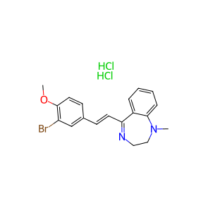 COc1ccc(C=CC2=NCCN(C)c3ccccc32)cc1Br.Cl.Cl